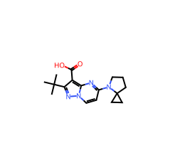 CC(C)(C)c1nn2ccc(N3CCCC34CC4)nc2c1C(=O)O